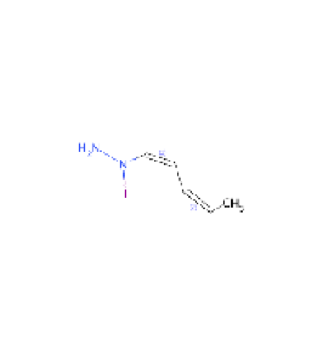 C/C=C\C=C/N(N)I